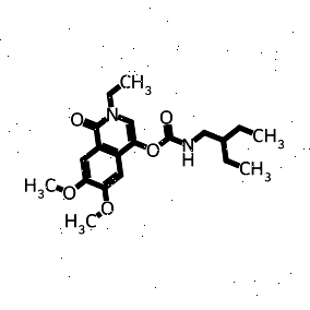 CCC(CC)CNC(=O)Oc1cn(CC)c(=O)c2cc(OC)c(OC)cc12